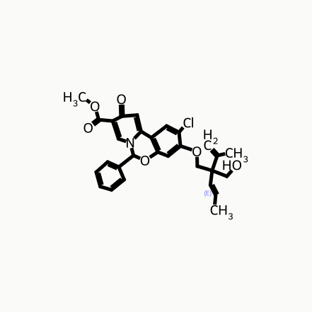 C=C(C)C(/C=C/C)(CO)COc1cc2c(cc1Cl)-c1cc(=O)c(C(=O)OC)cn1C(c1ccccc1)O2